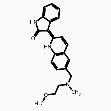 COCCN(C)Cc1ccc2c(c1)C=CC(=C1C(=O)Nc3ccccc31)N2